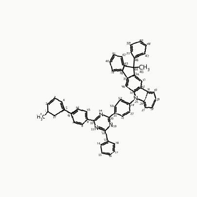 CC1C=CC=C(c2ccc(-c3nc(-c4ccccc4)nc(-c4ccc(-n5c6ccccc6c6cc7c(cc65)-c5ccccc5C7(C)c5ccccc5)cc4)n3)cc2)C1